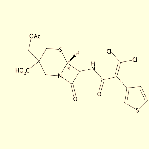 CC(=O)OCC1(C(=O)O)CS[C@@H]2C(NC(=O)C(=C(Cl)Cl)c3ccsc3)C(=O)N2C1